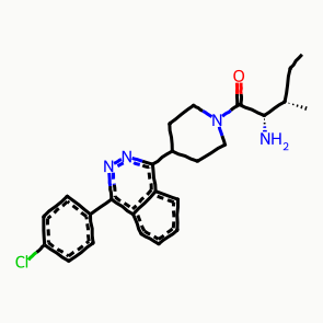 CC[C@H](C)[C@H](N)C(=O)N1CCC(c2nnc(-c3ccc(Cl)cc3)c3ccccc23)CC1